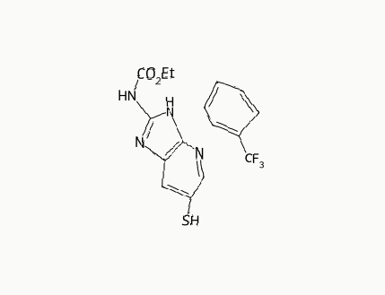 CCOC(=O)Nc1nc2cc(S)cnc2[nH]1.FC(F)(F)c1ccccc1